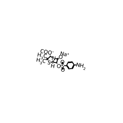 CC1(C)S[C@@H]2[C@H](OS(=O)(=O)c3ccc(N)cc3)C(=O)N2[C@H]1C(=O)[O-].[Na+]